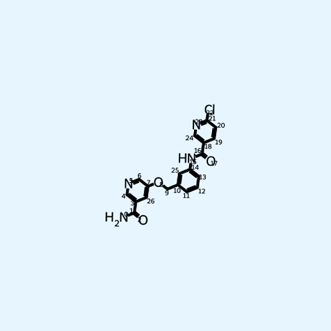 NC(=O)c1cncc(OCc2cccc(NC(=O)c3ccc(Cl)nc3)c2)c1